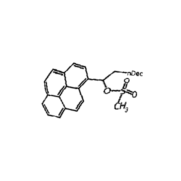 CCCCCCCCCCCC(OS(C)(=O)=O)c1ccc2ccc3cccc4ccc1c2c34